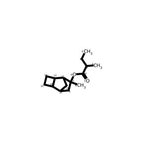 CCC(C)C(=O)OC1(C)CC2CC1C1CCC21